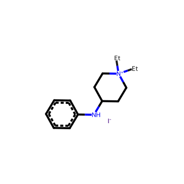 CC[N+]1(CC)CCC(Nc2ccccc2)CC1.[I-]